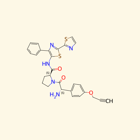 C#CCOc1ccc([C@H](N)C(=O)N2CCC[C@H]2C(=O)Nc2sc(-c3nccs3)nc2-c2ccccc2)cc1